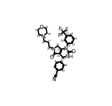 N#Cc1ccc([C@H]2NC(=O)N(c3cccc(C(F)(F)F)c3)C3=C2C(=O)N(CCCN2CCOCC2)C3)cc1